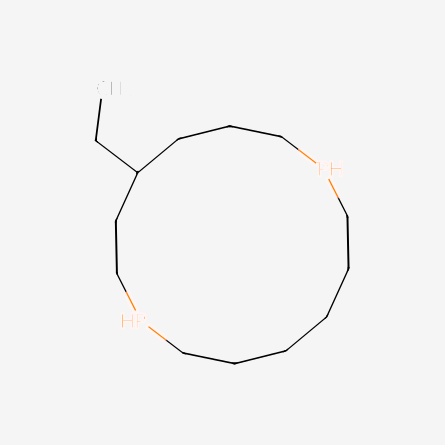 CCC1CCCPCCCCCCPCC1